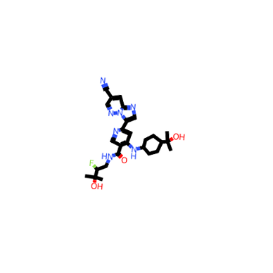 CC(C)(O)C(F)CNC(=O)c1cnc(-c2cnc3cc(C#N)cnn23)cc1NC1CCC(C(C)(C)O)CC1